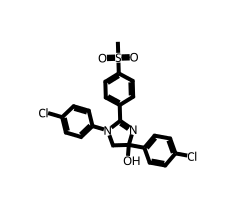 CS(=O)(=O)c1ccc(C2=NC(O)(c3ccc(Cl)cc3)CN2c2ccc(Cl)cc2)cc1